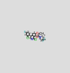 C[C@@H](Oc1ccc2c(-c3ccc(F)cc3Cl)cnc(Cl)c2c1)C(=O)N1CCC(F)(F)CC1